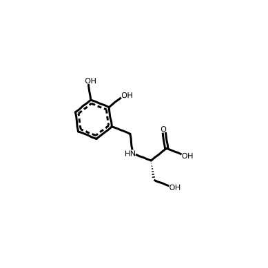 O=C(O)[C@H](CO)NCc1cccc(O)c1O